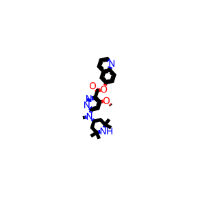 COc1cc(N(C)C2CC(C)(C)NC(C)(C)C2)nnc1C(=O)Oc1ccc2ncccc2c1